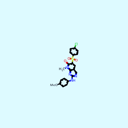 COc1ccc(Nc2ncc3cc(S(=O)(=O)c4ccc(Cl)cc4)c(=O)n(C)c3n2)cc1